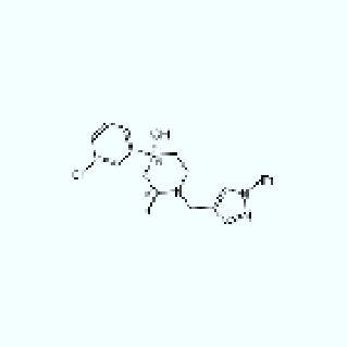 CC(C)n1cc(CN2CC[C@](O)(c3cccc(Cl)c3)C[C@@H]2C)cn1